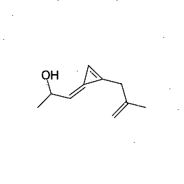 C=C(C)CC1=CC/1=C\C(C)O